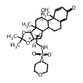 CC1(C)O[C@@H]2CC3C4CCC5=CC(=O)C=CC5(C)C4[C@@H](O)CC3(C)[C@]2(C(=O)CNS(=O)(=O)N2CCOCC2)O1